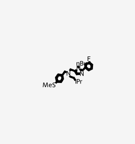 CCCCn1c(CN(CCC(C)C)Cc2ccc(SC)cc2)cnc1-c1cccc(F)c1